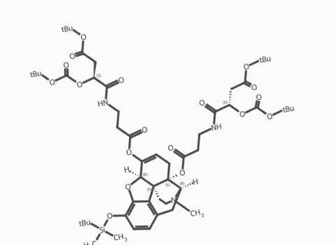 CN1CC[C@]23c4c5ccc(O[Si](C)(C)C(C)(C)C)c4O[C@H]2C(OC(=O)CCNC(=O)[C@H](CC(=O)OC(C)(C)C)OC(=O)OC(C)(C)C)=CC[C@@]3(OC(=O)CCNC(=O)[C@H](CC(=O)OC(C)(C)C)OC(=O)OC(C)(C)C)[C@H]1C5